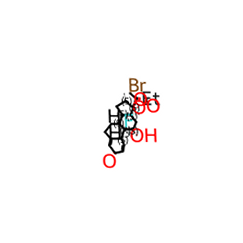 CCC(=O)O[C@@]1(C(=O)CBr)[C@@H](C)C[C@H]2[C@@H]3CCC4=CC(=O)C=C[C@]4(C)[C@@]3(F)[C@@H](O)C[C@@]21C